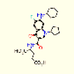 O=C(O)CC[C@H](NC(=O)c1cn(C2CCCC2)c2cc(NC3CCCCC3)c(F)cc2c1=O)C(=O)O